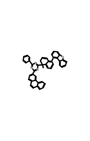 CC1(c2nc(-c3ccccc3)nc(-c3ccc4ccc5ccccc5c4c3)n2)CC=Cc2c(-c3cccc4oc5ccccc5c34)cccc21